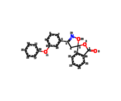 O=C1OC2(CC(c3cccc(Oc4ccccc4)c3)=NO2)c2ccccc21